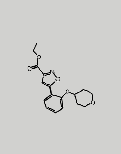 CCOC(=O)c1cc(-c2ccccc2OC2CCOCC2)on1